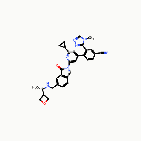 C[C@H](NCc1ccc2c(c1)C(=O)N(c1cc(-c3ccc(C#N)cc3-c3nncn3C)cc(C3CC3)n1)C2)C1COC1